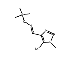 Cn1nnc(/C=N/O[Si](C)(C)C)c1C#N